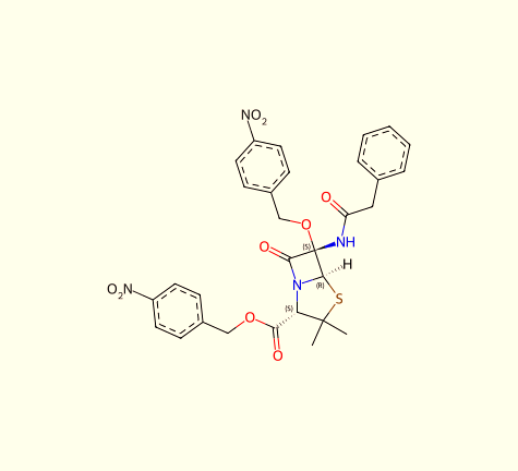 CC1(C)S[C@H]2N(C(=O)[C@]2(NC(=O)Cc2ccccc2)OCc2ccc([N+](=O)[O-])cc2)[C@H]1C(=O)OCc1ccc([N+](=O)[O-])cc1